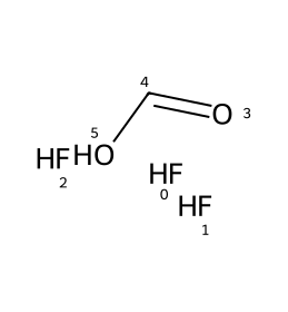 F.F.F.O=CO